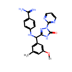 CCOc1cc(C)cc(C(Nc2ccc(C(=N)N)cc2)c2nn(-c3ncccn3)c(=O)[nH]2)c1